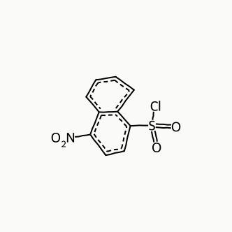 O=[N+]([O-])c1ccc(S(=O)(=O)Cl)c2ccccc12